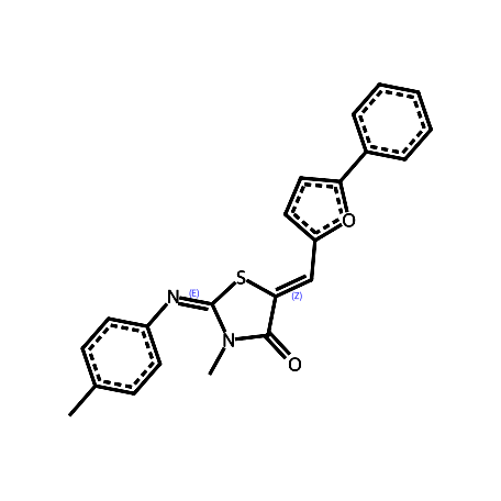 Cc1ccc(/N=C2/S/C(=C\c3ccc(-c4ccccc4)o3)C(=O)N2C)cc1